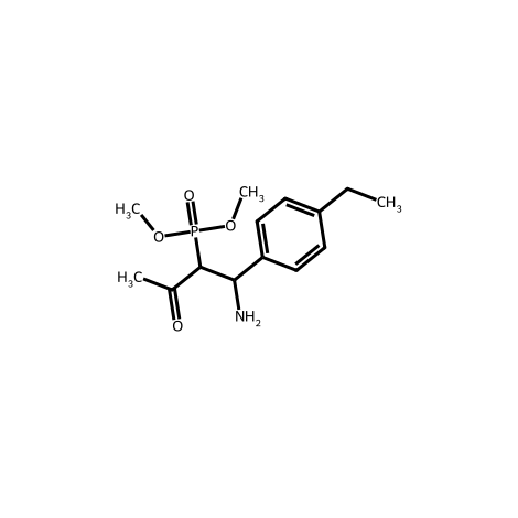 CCc1ccc(C(N)C(C(C)=O)P(=O)(OC)OC)cc1